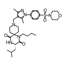 CCCCN1C(=O)[C@H](CC(C)C)NC(=O)C12CCN(Cc1c(C)nn(-c3ccc(S(=O)(=O)N4CCOCC4)cc3)c1C)CC2